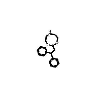 c1ccc(C(CB2OCCNCCO2)c2ccccc2)cc1